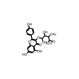 CCC(OC(C)=O)C(OC(C)=O)C(O)C(O)Oc1c(-c2ccc(O)cc2)oc2cc(O)cc(O)c2c1=O